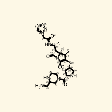 C[C@@H](NC(=O)Cn1cnnn1)[C@H]1C(=O)N2C(C(=O)O)=C(S[C@@H]3CN[C@H](C(=O)N4CCNC(CN)C4)C3)[C@H](C)[C@H]12